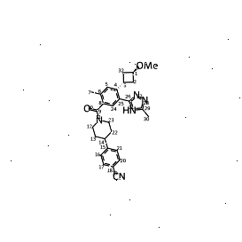 CO[C@H]1C[C@H](c2cc(C)c(C(=O)N3CCC(c4ccc(C#N)cc4)CC3)cc2-c2nnc(C)[nH]2)C1